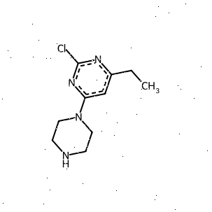 CCc1cc(N2CCNCC2)nc(Cl)n1